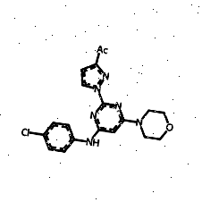 CC(=O)c1ccn(-c2nc(Nc3ccc(Cl)cc3)cc(N3CCOCC3)n2)n1